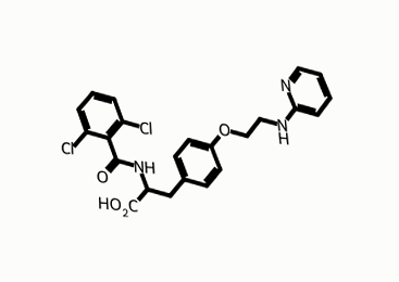 O=C(NC(Cc1ccc(OCCNc2ccccn2)cc1)C(=O)O)c1c(Cl)cccc1Cl